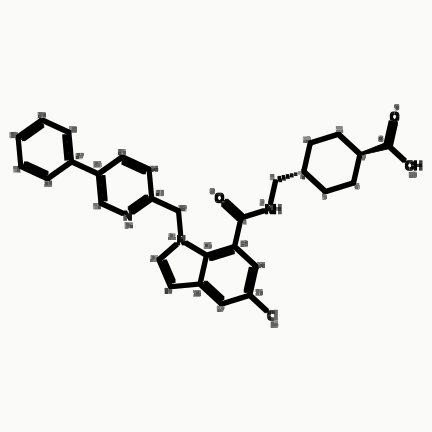 O=C(NC[C@H]1CC[C@H](C(=O)O)CC1)c1cc(Cl)cc2ccn(Cc3ccc(-c4ccccc4)cn3)c12